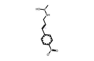 CB(O)NC/C=C/c1ccc([N+](=O)[O-])cc1